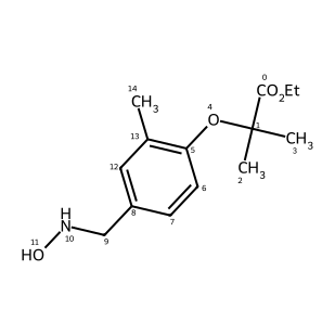 CCOC(=O)C(C)(C)Oc1ccc(CNO)cc1C